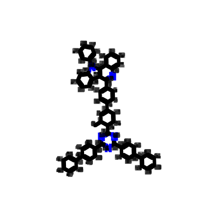 CC1C=C(c2ccc(-c3nc4ccccc4c4c3c3ccccc3n4-c3ccccc3)cc2)C=CC1c1nc(-c2ccc(-c3ccccc3)cc2)nc(-c2ccc(-c3ccccc3)cc2)n1